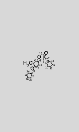 Cc1cc(C2CN(Cc3ccccc3)C(=O)CO2)ccc1OCc1ccccc1